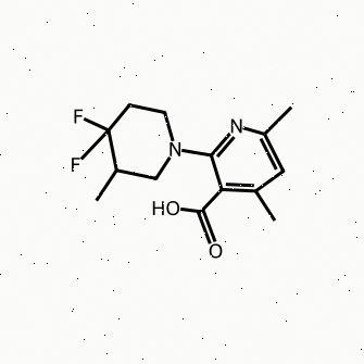 Cc1cc(C)c(C(=O)O)c(N2CCC(F)(F)C(C)C2)n1